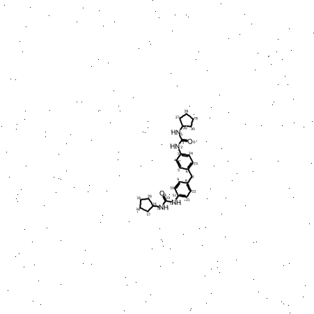 O=C(Nc1ccc(Cc2ccc(NC(=O)NC3CCCC3)cc2)cc1)NC1CCCC1